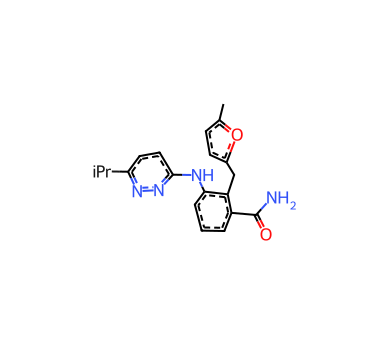 Cc1ccc(Cc2c(Nc3ccc(C(C)C)nn3)cccc2C(N)=O)o1